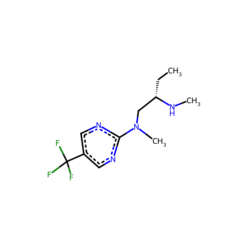 CC[C@@H](CN(C)c1ncc(C(F)(F)F)cn1)NC